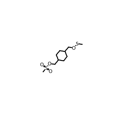 CSOCC1CCC(COS(C)(=O)=O)CC1